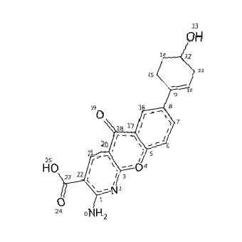 Nc1nc2oc3ccc(C4=CCC(O)CC4)cc3c(=O)c2cc1C(=O)O